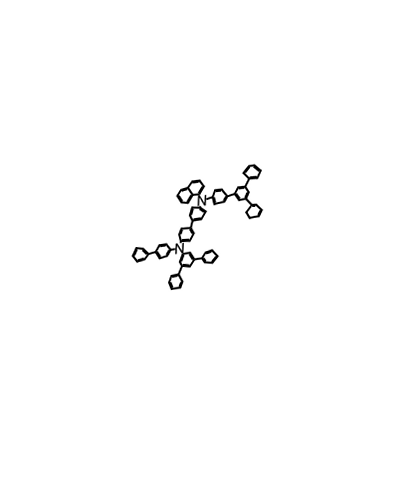 C1=CCCC(c2cc(-c3ccccc3)cc(-c3ccc(N(c4ccc(-c5ccc(N(c6ccc(-c7ccccc7)cc6)c6cc(-c7ccccc7)cc(-c7ccccc7)c6)cc5)cc4)c4cccc5ccccc45)cc3)c2)=C1